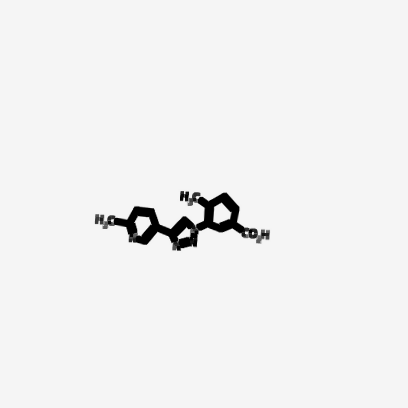 Cc1ccc(-c2cn(-c3cc(C(=O)O)ccc3C)nn2)cn1